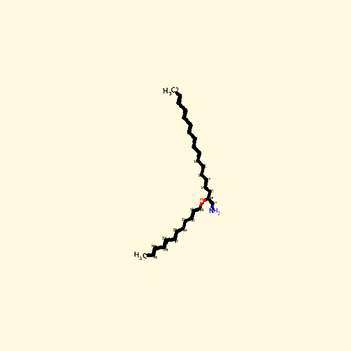 CCCCCCCCCCCCCCCCC(CN)OCCCCCCCCCCCC